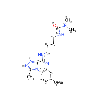 COc1ccc2c(c1)nc(NCCCCNC(=O)N(C)C)c1nnc(C)n12